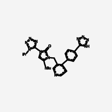 CCCCc1cn(-c2nnnn2C(C)C)c(=O)n1Cc1cnccc1-c1ccc(-c2nnn[nH]2)cc1